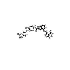 C[C@H]1CN(CC[C@]2(O)CC[C@@H](NC(=O)c3cc4c(OCc5coc6c5C(=O)CCC6)cccc4[nH]3)CC2)CC[C@@H]1O